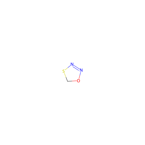 C1ON=NS1